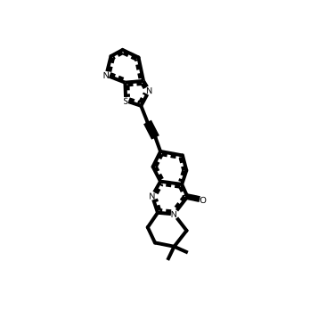 CC1(C)CCc2nc3cc(C#Cc4nc5cccnc5s4)ccc3c(=O)n2C1